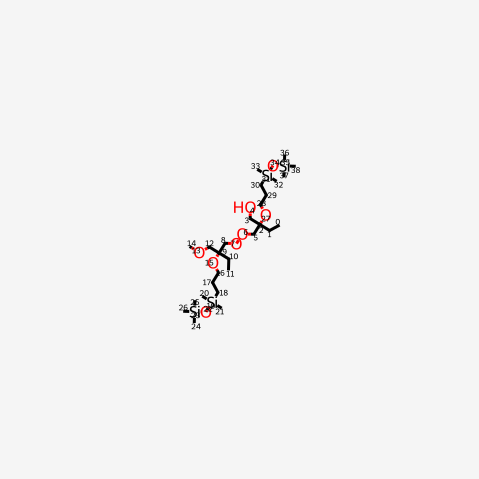 CCC(CO)(COOCC(CC)(COC)OCCC[Si](C)(C)O[Si](C)(C)C)OCCC[Si](C)(C)O[Si](C)(C)C